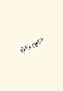 Cc1cc(Nc2ncc(F)c(-c3cnc(C)n3C)n2)ccc1S(=O)(=O)N1CCN(C)CC1